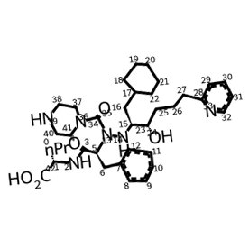 CCC[C@H](NC(=O)[C@H](Cc1ccccc1)N(N[C@@H](CC1CCCCC1)[C@@H](O)CCCc1ccccn1)C(=O)N1CCNCC1)C(=O)O